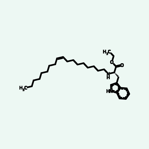 CCCCCCCC/C=C\CCCCCCCCN[C@@H](Cc1c[nH]c2ccccc12)C(=O)OCC